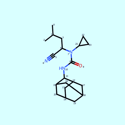 CC(C)CC(C#N)N(C(=O)NC1C2CC3CC(C2)CC1C3)C1CC1